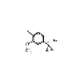 CC(C)(C)[C@]1(c2ccc(F)c(OC(F)(F)F)c2)[CH]C1